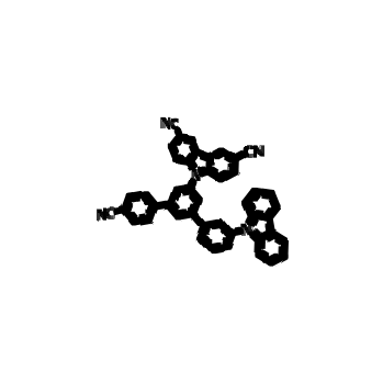 N#Cc1ccc(-c2cc(-c3cccc(-n4c5ccccc5c5ccccc54)c3)cc(-n3c4ccc(C#N)cc4c4cc(C#N)ccc43)c2)cc1